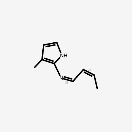 C/C=C\C=N/c1[nH]ccc1C